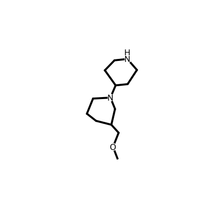 COCC1CCCN(C2CCNCC2)C1